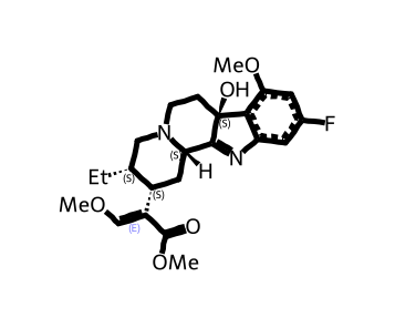 CC[C@@H]1CN2CC[C@@]3(O)C(=Nc4cc(F)cc(OC)c43)[C@@H]2C[C@@H]1/C(=C\OC)C(=O)OC